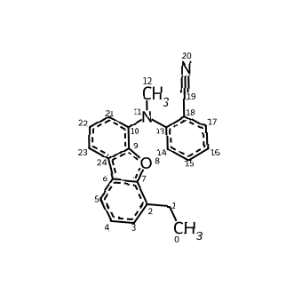 CCc1cccc2c1oc1c(N(C)c3ccccc3C#N)cccc12